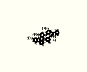 Cc1cc2c3c(c1)-n1c4[nH]c5ccccc5c4c4cc(C(C)(C)C)cc(c41)B3C1CC=C(C(C)(C)C)C=C1N2c1cccc2c1[nH]c1cc(C(C)(C)C)ccc12